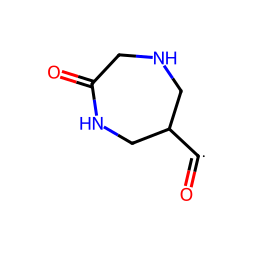 O=[C]C1CNCC(=O)NC1